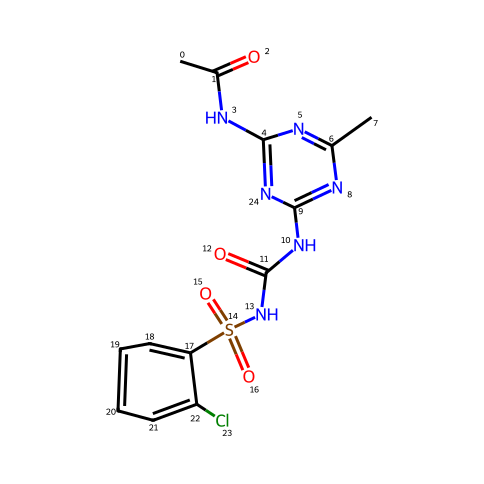 CC(=O)Nc1nc(C)nc(NC(=O)NS(=O)(=O)c2ccccc2Cl)n1